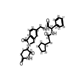 O=C1CCC(N2Cc3cc(CNC(=O)C(NC(=O)CC4CCCC4)c4ccccc4)ccc3C2=O)C(=O)N1